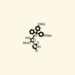 COc1ccc(C(OCC2OC(n3ccc(=O)[nH]c3=O)C(OC)C2O)(c2ccccc2)c2ccc(OC)cc2)cc1